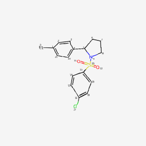 CCc1ccc(C2CCCN2S(=O)(=O)c2ccc(Cl)cc2)cc1